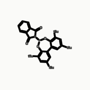 CC(C)(C)c1cc(C(C)(C)C)c2op(N3C(=O)c4ccccc4C3=O)oc3c(C(C)(C)C)cc(C(C)(C)C)cc3c2c1